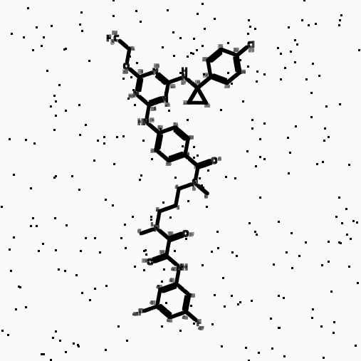 CN(CCCN(C)C(=O)c1ccc(Nc2nc(NC3(c4ccc(Cl)cc4)CC3)nc(OCC(F)(F)F)n2)cc1)C(=O)C(=O)Nc1cc(F)cc(F)c1